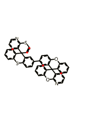 c1ccc2c(c1)Oc1ccc(-c3ccc4c(c3)C3(c5ccccc5S4)c4ccccc4Sc4nccnc43)cc1C21c2ccccc2Oc2nccnc21